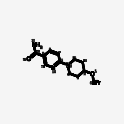 CCCOC1CCN(c2ccc(C(N)=O)cn2)CC1